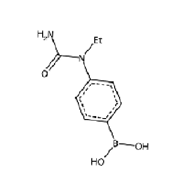 CCN(C(N)=O)c1ccc(B(O)O)cc1